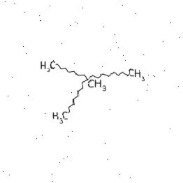 CCCCCCCCCC(C)(CCCCCCCC)CCCCCCCCC